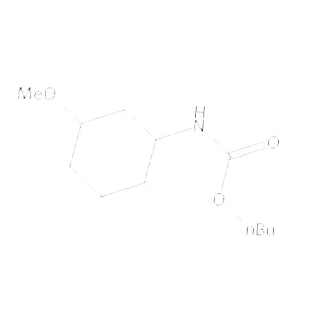 CCCCOC(=O)NC1CCCC(OC)C1